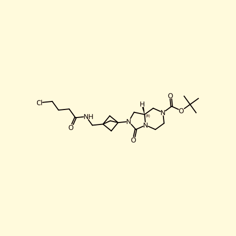 CC(C)(C)OC(=O)N1CCN2C(=O)N(C34CC(CNC(=O)CCCCl)(C3)C4)C[C@@H]2C1